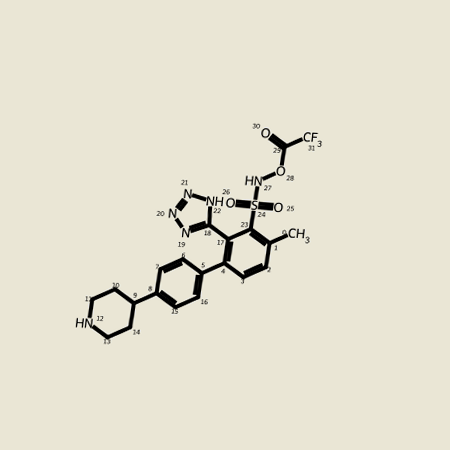 Cc1ccc(-c2ccc(C3CCNCC3)cc2)c(-c2nnn[nH]2)c1S(=O)(=O)NOC(=O)C(F)(F)F